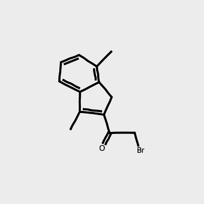 CC1=C(C(=O)CBr)Cc2c(C)cccc21